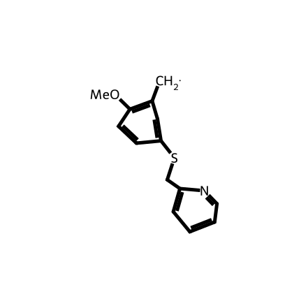 [CH2]c1cc(SCc2ccccn2)ccc1OC